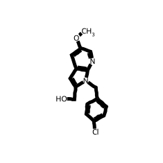 COc1cnc2c(c1)cc(CO)n2Cc1ccc(Cl)cc1